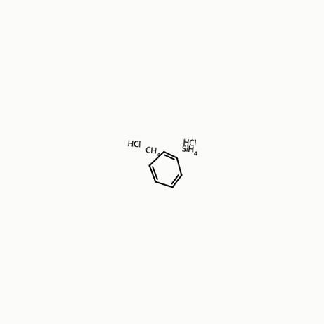 C.Cl.Cl.[SiH4].c1ccccc1